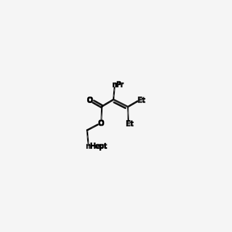 CCCCCCCCOC(=O)C(CCC)=C(CC)CC